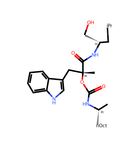 CCCCCCCC[C@@H](C)NC(=O)O[C@](C)(Cc1c[nH]c2ccccc12)C(=O)N[C@H](CO)CC(C)C